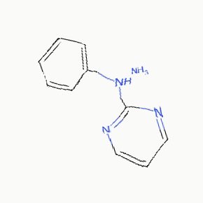 N.c1ccc(Nc2ncccn2)cc1